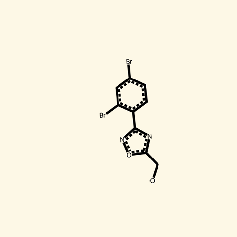 [O]Cc1nc(-c2ccc(Br)cc2Br)no1